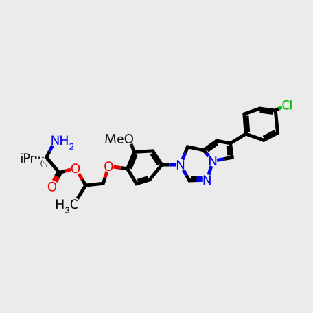 COc1cc(N2C=Nn3cc(-c4ccc(Cl)cc4)cc3C2)ccc1OCC(C)OC(=O)[C@@H](N)C(C)C